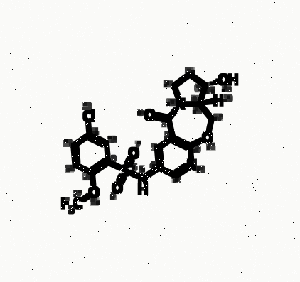 O=C1c2cc(NS(=O)(=O)c3cc(Cl)ccc3OC(F)(F)F)cnc2OC[C@H]2[C@@H](O)CCN12